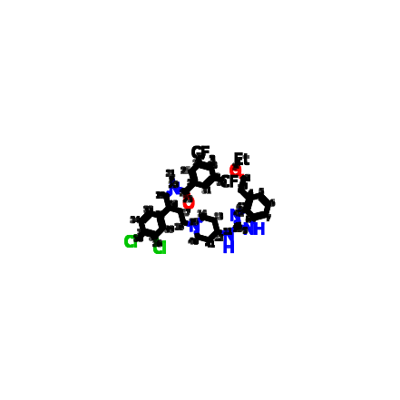 CCOCCc1cccc2[nH]c(NC3CCN(CCC(CN(C)C(=O)c4cc(C(F)(F)F)cc(C(F)(F)F)c4)c4ccc(Cl)c(Cl)c4)CC3)nc12